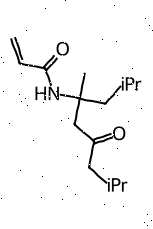 C=CC(=O)NC(C)(CC(=O)CC(C)C)CC(C)C